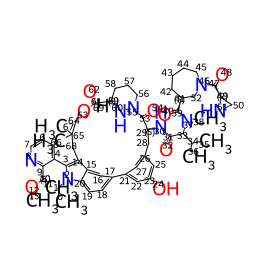 CCn1c(-c2cccnc2[C@H](C)OC)c2c3cc(ccc31)-c1cc(O)cc(c1)C[C@H](NC(=O)C(C(C)C)N(C)C(=O)[C@H]1CCCCN(C(=O)[C@H]3CN3)C1)C(=O)N1CCC[C@H](N1)C(=O)OCC(C)(C)C2